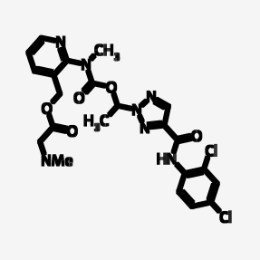 CNCC(=O)OCc1cccnc1N(C)C(=O)OC(C)n1ncc(C(=O)Nc2ccc(Cl)cc2Cl)n1